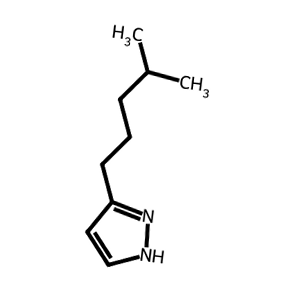 CC(C)CCCc1cc[nH]n1